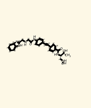 C[C@@H](O)[C@H](CNO)NC(=O)c1ccc(C#Cc2ccc(NC(=O)CNCc3nc4ccccc4[nH]3)cc2)cc1